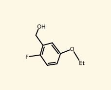 CCOc1ccc(F)c(CO)c1